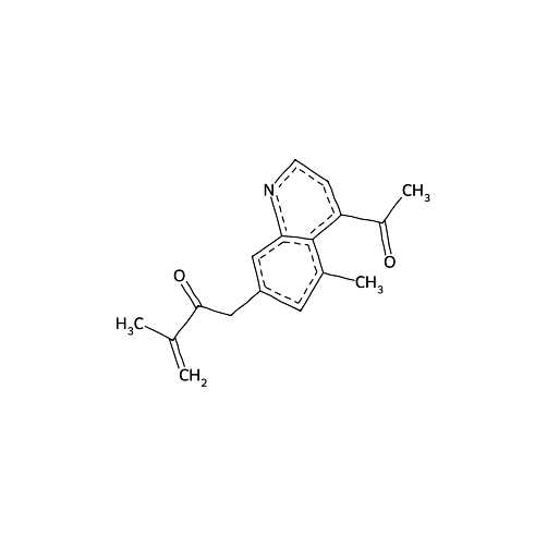 C=C(C)C(=O)Cc1cc(C)c2c(C(C)=O)ccnc2c1